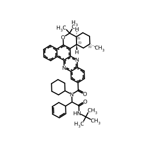 C[C@H]1CC[C@H]2[C@H](C1)c1c(c3ccccc3c3nc4cc(C(=O)N(C5CCCCC5)C(C(=O)NC(C)(C)C)C5C=CC=CC5)ccc4nc13)OC2(C)C